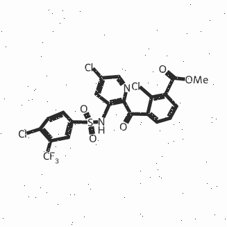 COC(=O)c1cccc(C(=O)c2ncc(Cl)cc2NS(=O)(=O)c2ccc(Cl)c(C(F)(F)F)c2)c1Cl